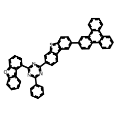 c1ccc(-c2nc(-c3ccc4c(c3)sc3ccc(-c5ccc6c7ccccc7c7ccccc7c6c5)cc34)nc(-c3cccc4oc5ccccc5c34)n2)cc1